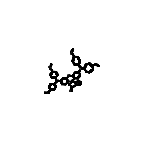 COC1=CC=C(N(c2ccc(OC)cc2)c2ccc3c(c2)OC2=CC(N(c4ccc(OC)cc4)c4ccc(OC)cc4)=CCC2C32OC(=O)c3ccccc32)CC=C1